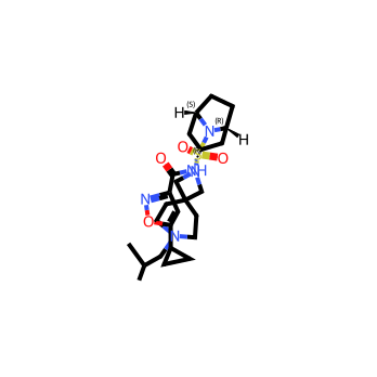 CC(C)CN1CCC2(CC1)CN(S(=O)(=O)N1[C@@H]3CC[C@H]1C[C@@H](NC(=O)c1cc(C4CC4)on1)C3)C2